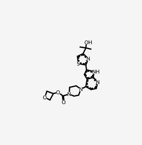 CC(C)(O)c1csc(-c2cc3c(N4CCN(C(=O)OC5COC5)CC4)ccnc3[nH]2)n1